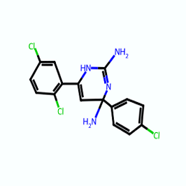 NC1=NC(N)(c2ccc(Cl)cc2)C=C(c2cc(Cl)ccc2Cl)N1